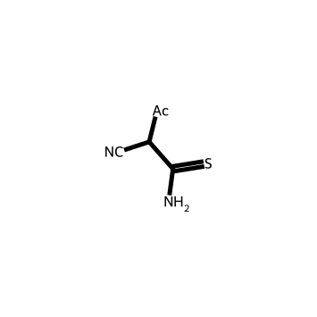 CC(=O)C(C#N)C(N)=S